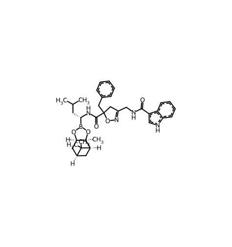 CC(C)C[C@H](NC(=O)C1(Cc2ccccc2)CC(CNC(=O)c2c[nH]c3ccccc23)=NO1)B1O[C@@H]2C[C@@H]3C[C@@H](C3(C)C)[C@]2(C)O1